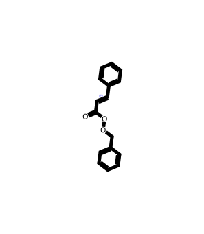 O=C(/C=C/c1ccccc1)OOCc1ccccc1